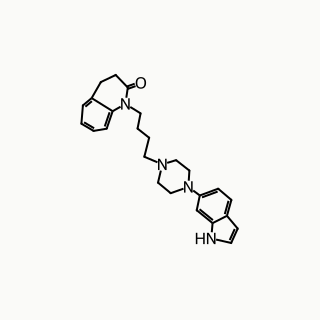 O=C1CCc2ccccc2N1CCCCN1CCN(c2ccc3cc[nH]c3c2)CC1